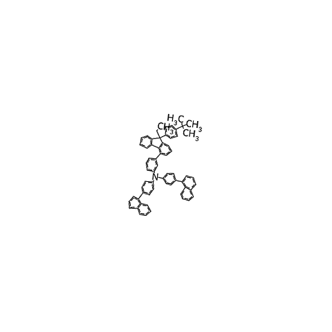 CCC1(c2ccc(C(C)(C)C)cc2)c2ccccc2-c2c(-c3cccc(N(c4ccc(-c5cccc6ccccc56)cc4)c4ccc(-c5cccc6ccccc56)cc4)c3)cccc21